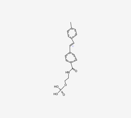 Cc1ccc(/C=C/c2ccc(C(=O)NCCOP(=O)(O)O)cc2)cc1